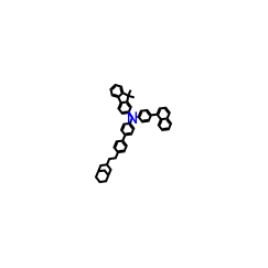 CC1(C)c2ccccc2-c2ccc(N(c3ccc(-c4ccc(CCC5CC6CCCC(C6)C5)cc4)cc3)c3ccc(-c4cccc5ccccc45)cc3)cc21